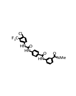 CNC(=O)c1cccc(NC(=O)c2ccc(NC(=O)Nc3ccc(Cl)c(C(F)(F)F)c3)cc2)c1